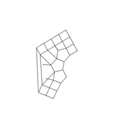 CC12C3CC4C5C6CC7C8CC9C%10C%11C%12C%13C%14CC3C%141C%131C42C2(C)C53C4(C)C76C89C%104C%113C%1221